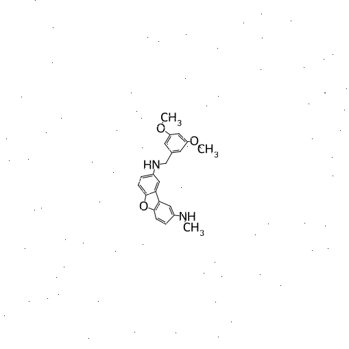 CNc1ccc2oc3ccc(NCc4cc(OC)cc(OC)c4)cc3c2c1